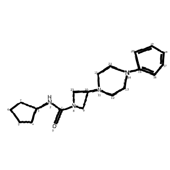 O=C(NC1CCCC1)N1CC(N2CCN(c3ccccc3)CC2)C1